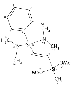 CO[Si](C)(C=C[Si](c1ccccc1)(N(C)C)N(C)C)OC